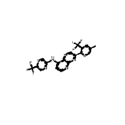 Cc1cnc(-c2cnc3c(Nc4cnc(C(F)(F)F)cn4)ccnc3n2)c(C(F)(F)F)c1